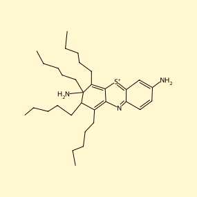 CCCCCC1=c2nc3ccc(N)cc3[s+]c2=C(CCCCC)C(N)(CCCCC)C1CCCCC